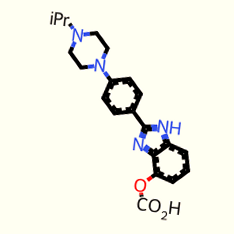 CC(C)N1CCN(c2ccc(-c3nc4c(OC(=O)O)cccc4[nH]3)cc2)CC1